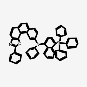 c1ccc(-c2nc3ccc4ccc5ccc(N(c6ccccc6)c6ccc([Si](c7ccccc7)(c7ccccc7)c7ccccc7)c7ccccc67)cc5c4c3o2)cc1